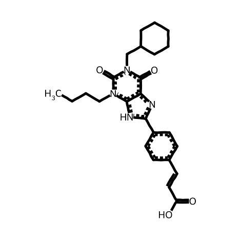 CCCCn1c(=O)n(CC2CCCCC2)c(=O)c2nc(-c3ccc(/C=C/C(=O)O)cc3)[nH]c21